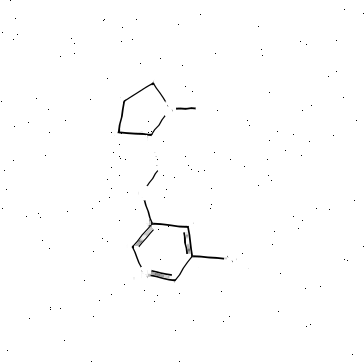 CN1CCC[C@H]1COc1cncc([N+](=O)[O-])c1